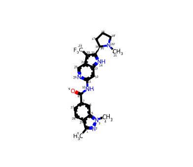 Cc1nn(C)c2cc(C(=O)Nc3cc4[nH]c([C@H]5CCCN5C)c(C(F)(F)F)c4cn3)ccc12